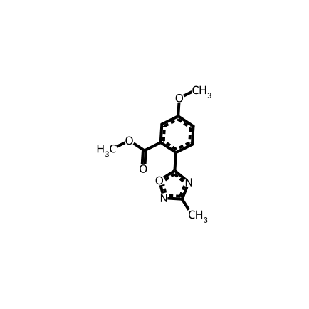 COC(=O)c1cc(OC)ccc1-c1nc(C)no1